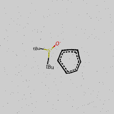 CC(C)(C)[S+]([O-])C(C)(C)C.c1ccccc1